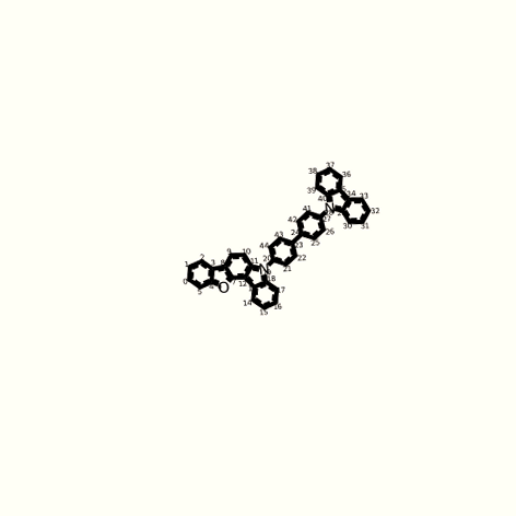 c1ccc2c(c1)oc1c2ccc2c1c1ccccc1n2-c1ccc(-c2ccc(-n3c4ccccc4c4ccccc43)cc2)cc1